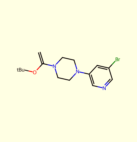 C=C(OC(C)(C)C)N1CCN(c2cncc(Br)c2)CC1